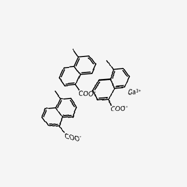 Cc1cccc2c(C(=O)[O-])cccc12.Cc1cccc2c(C(=O)[O-])cccc12.Cc1cccc2c(C(=O)[O-])cccc12.[Ga+3]